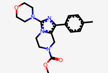 COC(=O)N1CCn2c(N3CCOCC3)nc(-c3ccc(C)cc3)c2C1